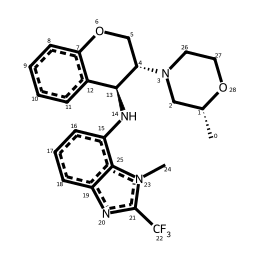 C[C@@H]1CN([C@H]2COc3ccccc3[C@@H]2Nc2cccc3nc(C(F)(F)F)n(C)c23)CCO1